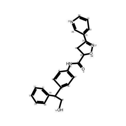 O=C(Nc1ccc(C(CO)c2ccccc2)cc1)C1CC(c2cccnc2)=NO1